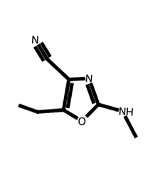 CCc1oc(NC)nc1C#N